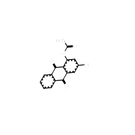 NC(=O)Oc1cc(Cl)cc2c1C(=O)c1ccccc1C2=O